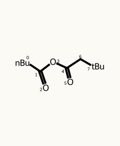 [CH2]CCCC(=O)OC(=O)CC(C)(C)C